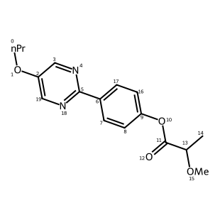 CCCOc1cnc(-c2ccc(OC(=O)C(C)OC)cc2)nc1